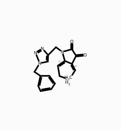 C/C=C1/C(=O)C(=O)N(Cc2cn(Cc3ccccc3)nn2)/C1=C/CC